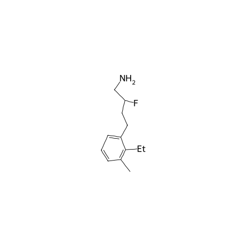 CCc1c(C)cccc1CCC(F)CN